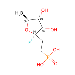 B[C@@H]1O[C@](F)(CCP(=O)(O)O)[C@@H](O)[C@H]1O